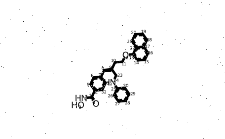 O=C(NO)c1ccc(C=C(CCOc2cccc3ccccc23)CNc2ccccc2)cc1